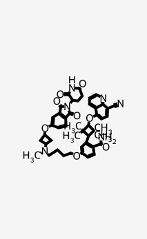 CN(CCCCOc1ccc(C(N)=O)c(C2C(C)(C)C(Oc3ccc(C#N)c4ncccc34)C2(C)C)c1)C1CC(Oc2ccc3c(c2)C(=O)N(C2CCC(=O)NC2=O)C3=O)C1